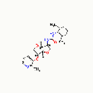 Cc1ncccc1O[C@H]1CO[C@H]2[C@@H]1OC[C@@H]2NC(=O)NC1C(C)CCCC1C